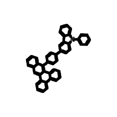 c1ccc(-n2c3ccccc3c3cc(-c4ccc(-c5c6ccccc6cc6c7ccccc7c7ccccc7c56)cc4)ccc32)cc1